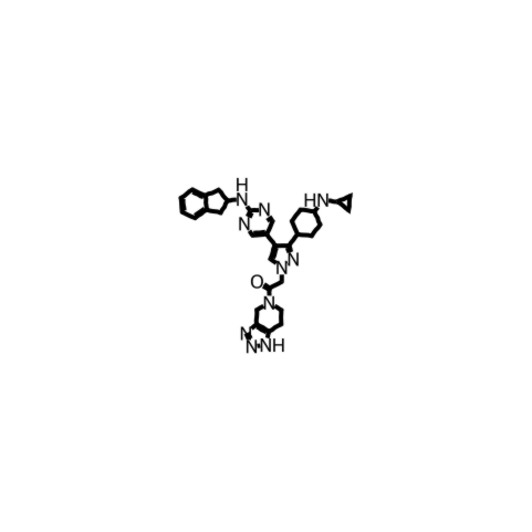 O=C(Cn1cc(-c2cnc(NC3Cc4ccccc4C3)nc2)c(C2CCC(NC3CC3)CC2)n1)N1CCc2[nH]nnc2C1